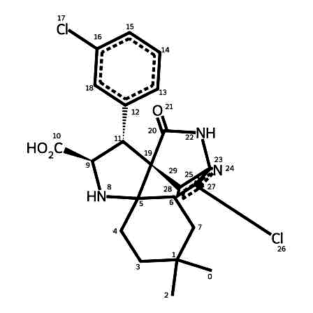 CC1(C)CCC2(CC1)N[C@@H](C(=O)O)[C@H](c1cccc(Cl)c1)[C@]21C(=O)Nc2nc(Cl)ccc21